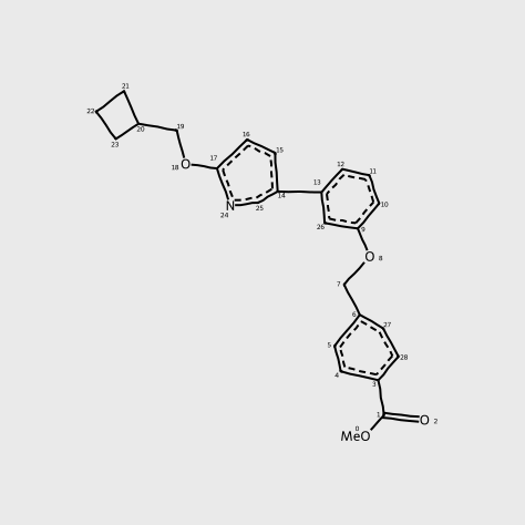 COC(=O)c1ccc(COc2cccc(-c3ccc(OCC4CCC4)nc3)c2)cc1